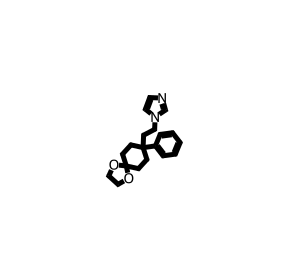 c1ccc(C2(CCn3ccnc3)CCC3(CC2)OCCO3)cc1